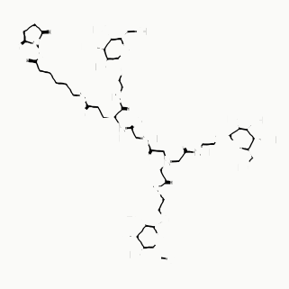 O=C(CC[C@H](NC(=O)CNC(=O)CN(CC(=O)NCCO[C@H]1O[C@H](CO)[C@@H](O)[C@H](O)[C@@H]1O)CC(=O)NCCO[C@H]1O[C@H](CO)[C@@H](O)[C@H](O)[C@@H]1O)C(=O)NCCO[C@H]1O[C@H](CO)[C@@H](O)[C@H](O)[C@@H]1O)NCCCCCC(=O)ON1C(=O)CCC1=O